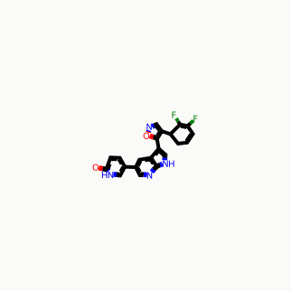 O=c1ccc(-c2cnc3[nH]cc(-c4oncc4C4CC=CC(F)=C4F)c3c2)c[nH]1